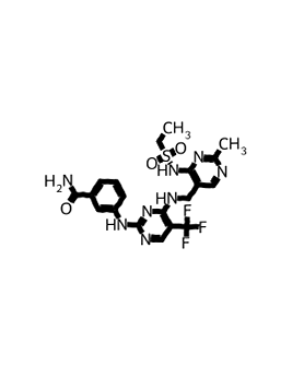 CCS(=O)(=O)Nc1nc(C)ncc1CNc1nc(Nc2cccc(C(N)=O)c2)ncc1C(F)(F)F